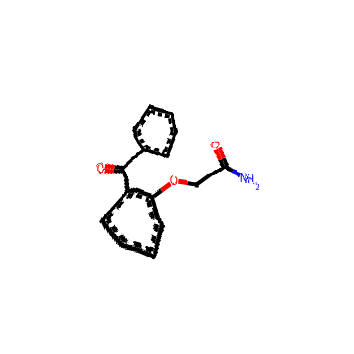 NC(=O)COc1ccccc1C(=O)c1ccccc1